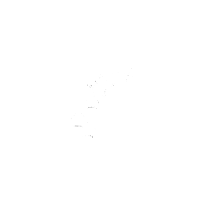 C[C@@H](Nc1nnc(-c2cccc3cnccc23)o1)C(=O)N1CCC2(CC1)CC2